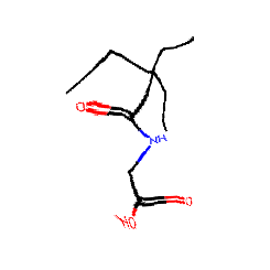 CCC(CC)(CC)C(=O)NCC(=O)O